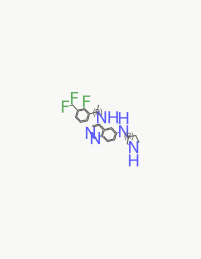 C[C@@H](Nc1cnnc2ccc(N[C@@H]3CCNC3)cc12)c1cccc(C(F)F)c1F